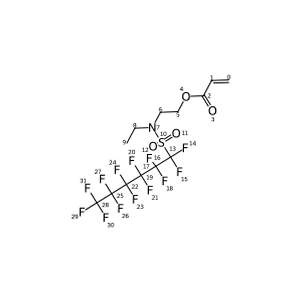 C=CC(=O)OCCN(CC)S(=O)(=O)C(F)(F)C(F)(F)C(F)(F)C(F)(F)C(F)(F)C(F)(F)F